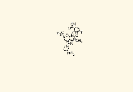 CC#CCn1c(N2CCC[C@@H](N)C2)nc2c1c(=O)n(Cc1nc(F)ccc1C(=O)O)c(=O)n2C